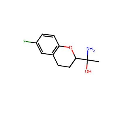 CC(N)(O)C1CCc2cc(F)ccc2O1